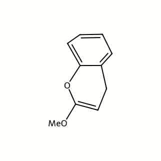 COC1=CCc2ccccc2O1